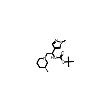 C[C@H]1CCCN(C[C@H](NC(=O)OC(C)(C)C)c2cnn(C)c2)C1